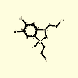 [O-][N+]1(CCCl)CN(CCCl)c2cc(Br)c(Br)cc21